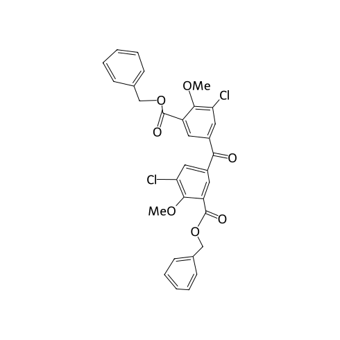 COc1c(Cl)cc(C(=O)c2cc(Cl)c(OC)c(C(=O)OCc3ccccc3)c2)cc1C(=O)OCc1ccccc1